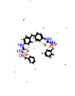 O=S(=O)(Cc1ccccc1)NC(=S)Nc1ccc(Cc2ccc(NC(=S)NS(=O)(=O)Cc3ccccc3)cc2)cc1